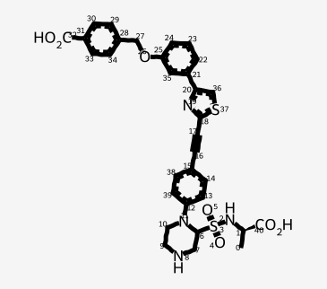 C[C@@H](NS(=O)(=O)C1CNCCN1c1ccc(C#Cc2nc(-c3cccc(OCc4ccc(C(=O)O)cc4)c3)cs2)cc1)C(=O)O